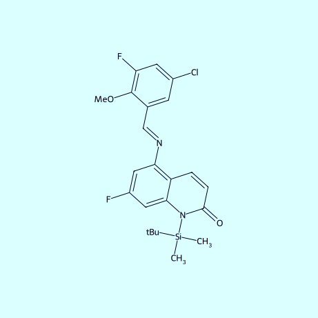 COc1c(F)cc(Cl)cc1C=Nc1cc(F)cc2c1ccc(=O)n2[Si](C)(C)C(C)(C)C